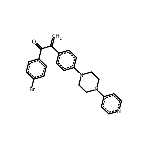 C=C(C(=O)c1ccc(Br)cc1)c1ccc(N2CCN(c3ccncc3)CC2)cc1